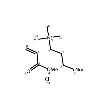 C=CC(=O)OC.CCCCCCCCCCCC[N+](C)(C)CC.[Cl-]